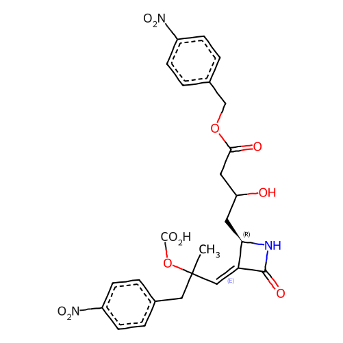 CC(/C=C1/C(=O)N[C@@H]1CC(O)CC(=O)OCc1ccc([N+](=O)[O-])cc1)(Cc1ccc([N+](=O)[O-])cc1)OC(=O)O